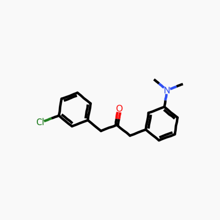 CN(C)c1cccc(CC(=O)Cc2cccc(Cl)c2)c1